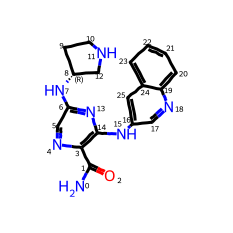 NC(=O)c1ncc(N[C@@H]2CCNC2)nc1Nc1cnc2ccccc2c1